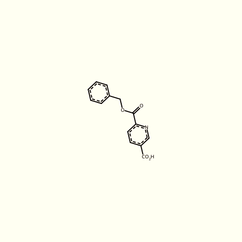 O=C(O)c1ccc(C(=O)OCc2ccccc2)nc1